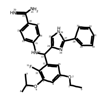 CCOc1cc(OC(C)C)c(F)c(C(Nc2ccc(C(=N)N)cc2)c2c[nH]c(-c3ccccc3)n2)c1